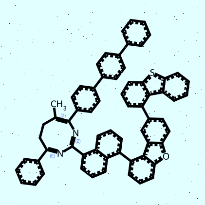 C/C1=C(c2ccc(-c3ccc(-c4ccccc4)cc3)cc2)/N=C(c2cccc3c(-c4cccc5oc6ccc(-c7cccc8sc9ccccc9c78)cc6c45)cccc23)\N=C(\c2ccccc2)CC1